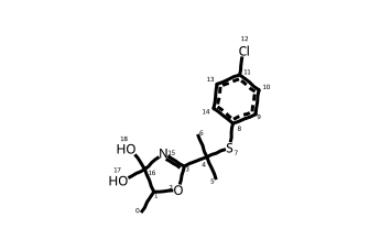 CC1OC(C(C)(C)Sc2ccc(Cl)cc2)=NC1(O)O